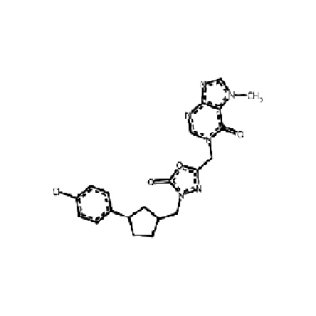 Cn1cnc2ncn(Cc3nn(CC4CC[C@@H](c5ccc(Cl)cc5)C4)c(=O)o3)c(=O)c21